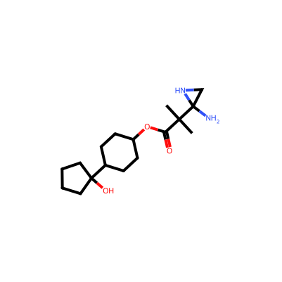 CC(C)(C(=O)OC1CCC(C2(O)CCCC2)CC1)C1(N)CN1